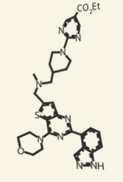 CCOC(=O)c1cnc(N2CCC(CN(C)Cc3cc4nc(-c5cccc6[nH]ncc56)nc(N5CCOCC5)c4s3)CC2)nc1